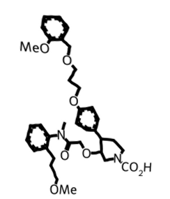 COCCCc1ccccc1N(C)C(=O)COC1CN(C(=O)O)CCC1c1ccc(OCCCOCc2ccccc2OC)cc1